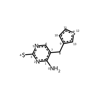 Nc1nc([S])ncc1Cc1ccsc1